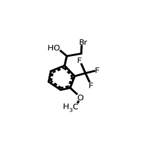 COc1cccc(C(O)CBr)c1C(F)(F)F